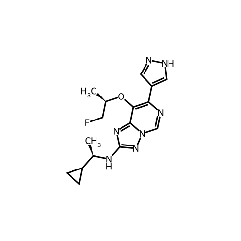 C[C@H](CF)Oc1c(-c2cn[nH]c2)ncn2nc(N[C@H](C)C3CC3)nc12